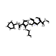 C=C/C(=C\C(=C/C)C(=O)OC)Cn1ncc(C(=O)NC2CCCCC2)c1SCCC